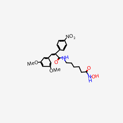 COc1cc(/C=C(\C(=O)NCCCCCC(=O)NO)c2ccc([N+](=O)[O-])cc2)cc(OC)c1